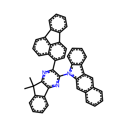 CC1(C)c2ccccc2-c2nc(-n3c4ccccc4c4cc5ccccc5cc43)c(-c3ccc4c5c(cccc35)-c3ccccc3-4)nc21